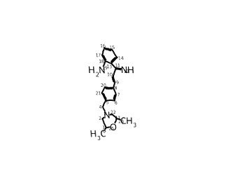 CC1CN(Cc2ccc(/C=C/C(=N)c3ccccc3N)cc2)CC(C)O1